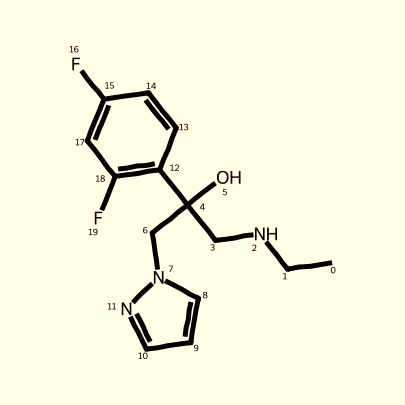 CCNCC(O)(Cn1cccn1)c1ccc(F)cc1F